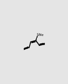 C=C/C=C(\C=C)SC